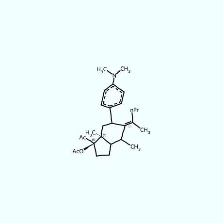 CCC/C(C)=C1\C(c2ccc(N(C)C)cc2)C[C@@]2(C)C(CC[C@]2(OC(C)=O)C(C)=O)C1C